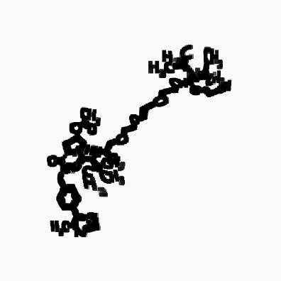 CC(=O)O[C@@H]1C[C@@H](C(=O)NCc2ccc(-c3scnc3C)cc2)N(C(=O)[C@@H](NC(=O)COCCOCCOCCOP(OCCC#N)N(C(C)C)C(C)C)C(C)(C)C)C1